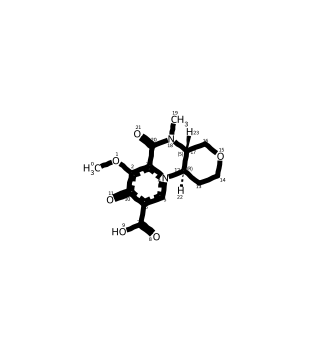 COc1c2n(cc(C(=O)O)c1=O)[C@@H]1CCOC[C@H]1N(C)C2=O